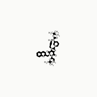 CC#CCn1c(N2CCCC(NC(=O)OC(C)(C)C)C2)nc2c(=O)n(C(C=O)OC(C)(C)C)n(Cc3ccc4ccccc4n3)c(=O)c21